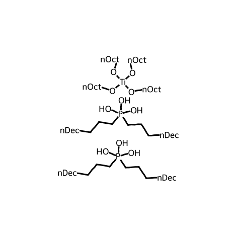 CCCCCCCCCCCCCP(O)(O)(O)CCCCCCCCCCCCC.CCCCCCCCCCCCCP(O)(O)(O)CCCCCCCCCCCCC.CCCCCCCC[O][Ti]([O]CCCCCCCC)([O]CCCCCCCC)[O]CCCCCCCC